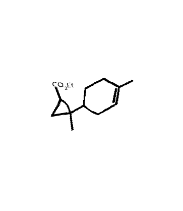 CCOC(=O)C1CC1(C)C1CC=C(C)CC1